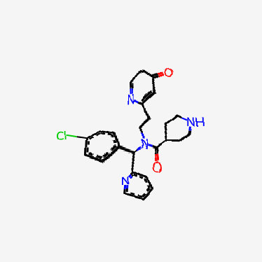 O=C1C=C(CCN(C(=O)C2CCNCC2)[C@H](c2ccc(Cl)cc2)c2ccccn2)N=CC1